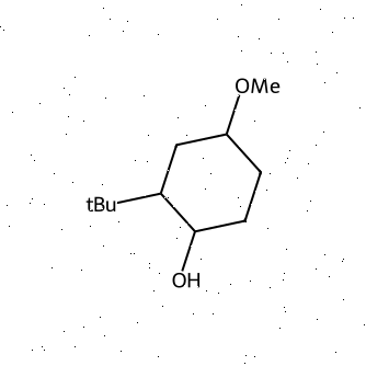 COC1CCC(O)C(C(C)(C)C)C1